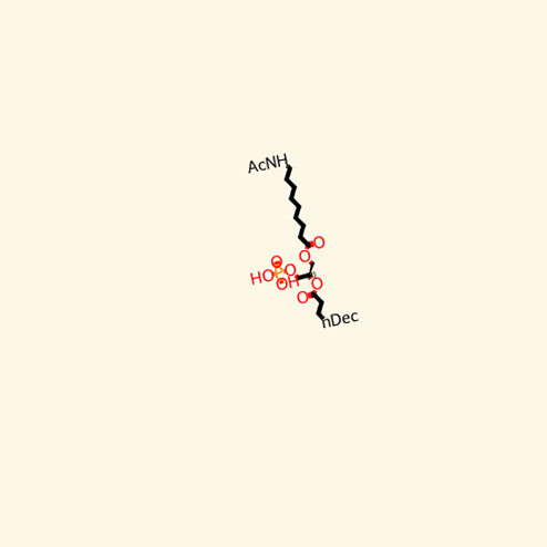 CCCCCCCCCCCCC(=O)O[C@H](COC(=O)CCCCCCCCNC(C)=O)COP(=O)(O)O